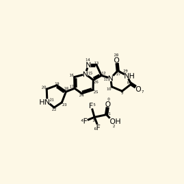 O=C(O)C(F)(F)F.O=C1CCN(c2cnn3cc(C4=CCNCC4)ccc23)C(=O)N1